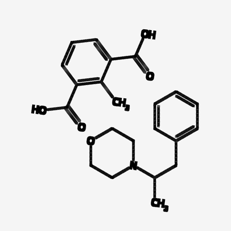 CC(Cc1ccccc1)N1CCOCC1.Cc1c(C(=O)O)cccc1C(=O)O